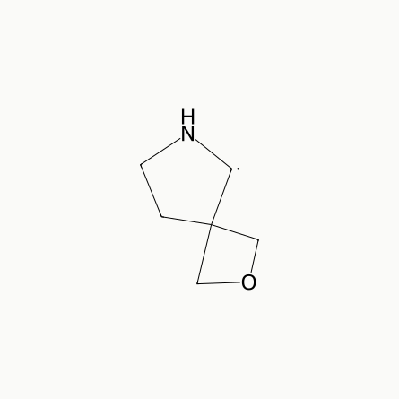 [CH]1NCCC12COC2